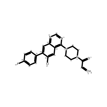 C=CC(=O)N1CCN(c2ncnc3cc(-c4ccc(F)cc4)c(Cl)cc23)CC1